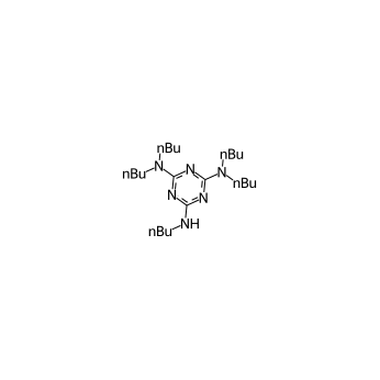 CCCCNc1nc(N(CCCC)CCCC)nc(N(CCCC)CCCC)n1